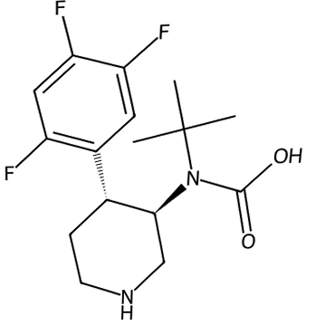 CC(C)(C)N(C(=O)O)[C@H]1CNCC[C@@H]1c1cc(F)c(F)cc1F